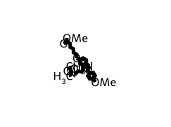 COC(=O)CCCCCOc1ccc2nc(-c3ccc(OC)cc3)n(CCCN(C)S(C)(=O)=O)c2c1